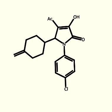 C=C1CCC(C2C(C(C)=O)=C(O)C(=O)N2c2ccc(Cl)cc2)CC1